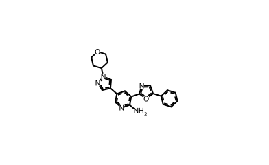 Nc1ncc(-c2cnn(C3CCOCC3)c2)cc1-c1ncc(-c2ccccc2)o1